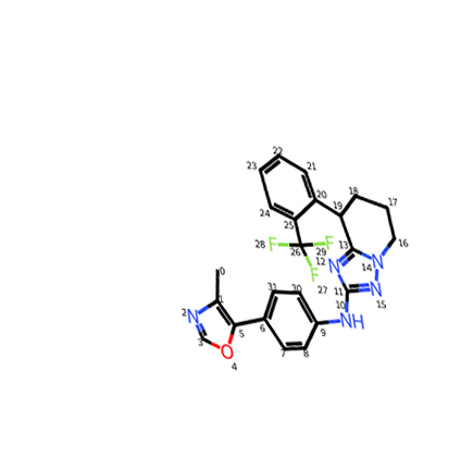 Cc1ncoc1-c1ccc(Nc2nc3n(n2)CCCC3c2ccccc2C(F)(F)F)cc1